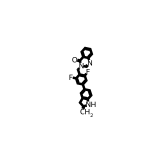 C=C1Cc2cc(-c3cc(F)c(Cn4cnc5ccccc5c4=O)c(F)c3)ccc2N1